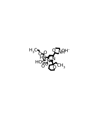 CCOC(=O)Nc1cc(C2CNCCO2)nc(C2(CC)CCCCO2)[n+]1OS(=O)(=O)O.[OH-]